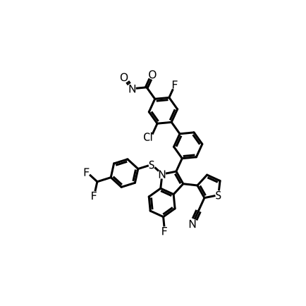 N#Cc1sccc1-c1c(-c2cccc(-c3cc(F)c(C(=O)N=O)cc3Cl)c2)n(Sc2ccc(C(F)F)cc2)c2ccc(F)cc12